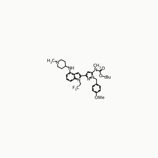 COc1ccc(Cn2nc(-c3cc4c(NC5CCN(C)CC5)cccc4n3CC(F)(F)F)cc2N(C)C(=O)OC(C)(C)C)cc1